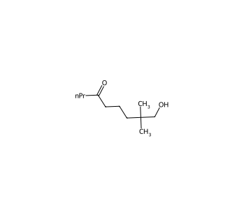 CCCC(=O)CCCC(C)(C)CO